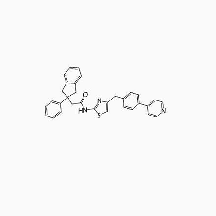 O=C(CC1(c2ccccc2)Cc2ccccc2C1)Nc1nc(Cc2ccc(-c3ccncc3)cc2)cs1